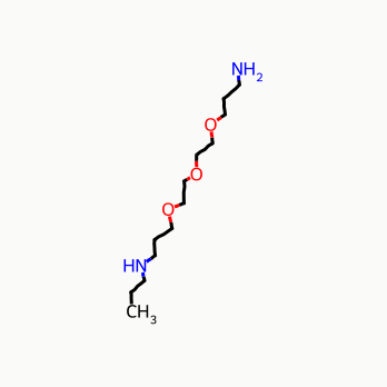 CCCNCCCOCCOCCOCCCN